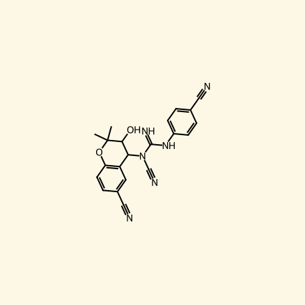 CC1(C)Oc2ccc(C#N)cc2C(N(C#N)C(=N)Nc2ccc(C#N)cc2)C1O